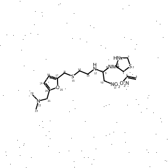 C1CSCN1.C=C[N+](=O)[O-].CNC(C[N+](=O)[O-])NCCSCc1ccc(CN(C)C)o1